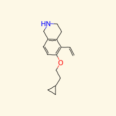 C=Cc1c(OCCC2CC2)ccc2c1CCNC2